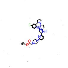 CC(C)(C)OC(=O)CN1CCN(c2cccc(C3CN=C(/C=C\C(=N)N4CCCC4c4cccc(F)c4)N3)n2)CC1